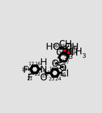 C[C@H]1CC2C[C@@H](S(=O)(=O)c3cc(C(=O)Nc4ccc(F)c(F)c4)ccc3Cl)CC1[C@@]2(O)[C@H](O)C(C)(C)O